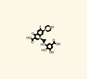 O=C(O)c1cc(O)c(O)c(O)c1.O=C(O)c1cn(C2CC2)c2cc(N3CCNCC3)c(F)cc2c1=O